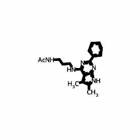 CC(=O)NCCCNc1nc(-c2ccccc2)nc2[nH]c(C)c(C)c12